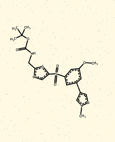 COc1cc(-c2cnn(C)c2)cc(S(=O)(=O)c2cnc(CNC(=O)OC(C)(C)C)s2)c1